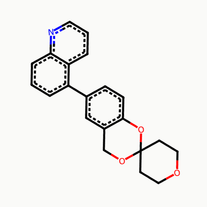 c1cc(-c2ccc3c(c2)COC2(CCOCC2)O3)c2cccnc2c1